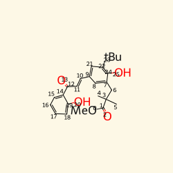 COC(=O)C(C)(C)Cc1cc(/C=C/C(=O)c2ccccc2O)cc(C(C)(C)C)c1O